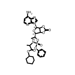 CC(NP(=O)(Oc1ccccc1)OC(C)[C@H]1O[C@@H](n2cnc3c(N)ccnc32)C2OC(=O)OC21)C(=O)OC1CCCCC1